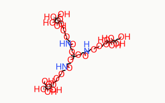 CC(COCCC(=O)NCCOCCOCCO[C@H]1OC(CO)[C@@H](O)C(O)C1O)(COCCC(=O)NCCOCCOCCO[C@H]1OC(CO)[C@@H](O)C(O)C1O)COCCC(=O)NCCOCCOCCO[C@@H](O)C(O)C(O)[C@H](O)CCO